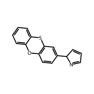 [c]1c(C2C=CC=N2)ccc2c1Sc1ccccc1O2